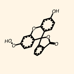 O=C1OC2(c3ccc(O)cc3Oc3cc(OO)ccc32)c2ccccc21